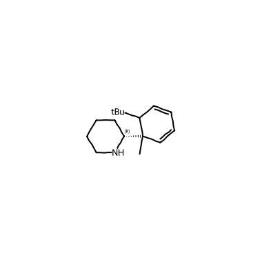 CC(C)(C)C1C=CC=CC1(C)[C@H]1CCCCN1